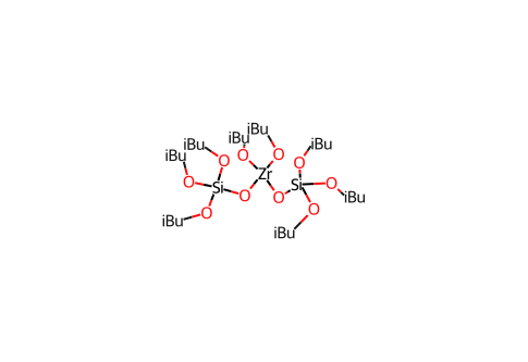 CCC(C)O[Si](OC(C)CC)(OC(C)CC)[O][Zr]([O]C(C)CC)([O]C(C)CC)[O][Si](OC(C)CC)(OC(C)CC)OC(C)CC